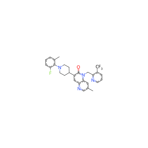 Cc1cnc2cc(C3CCN(c4c(C)cccc4F)CC3)c(=O)n(Cc3ncccc3C(F)(F)F)c2c1